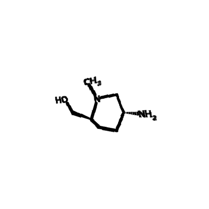 CN1C[C@H](N)CC[C@H]1CO